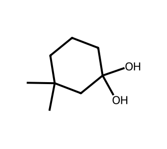 CC1(C)CCCC(O)(O)C1